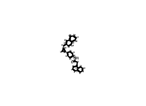 O=C(Cc1cccc2ccccc12)Nc1ccc([C@@H]2C[C@@H]2Cc2ccc3ccccc3c2)cc1